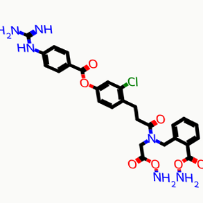 N=C(N)Nc1ccc(C(=O)Oc2ccc(CCC(=O)N(CC(=O)ON)Cc3ccccc3C(=O)ON)c(Cl)c2)cc1